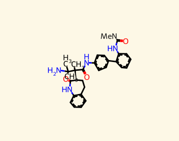 CNC(=O)Nc1ccccc1-c1ccc(NC(=O)C(C)([C@H]2CCc3ccccc3NC2=O)C(C)(C)N)cc1